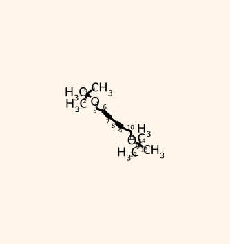 CC(C)(C)OCC#CC#CCOC(C)(C)C